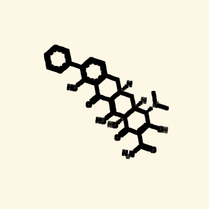 CN(C)[C@@H]1C(O)=C(C(N)=O)C(=O)[C@@]2(O)C(O)=C3C(=O)c4c(ccc(-c5ccccc5)c4O)C[C@H]3C[C@@H]12